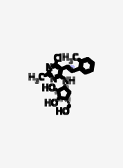 Cc1nc(Cl)c(/C=C/c2ccccc2C)c(N[C@@H]2C[C@H](CO)[C@@H](O)[C@H]2O)n1